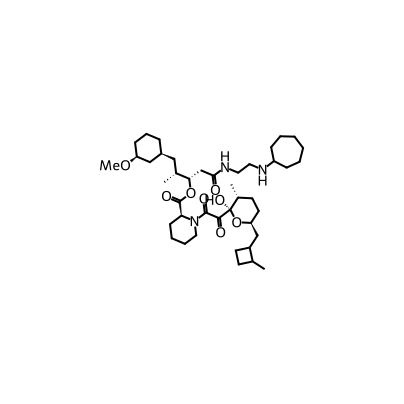 CO[C@H]1CCC[C@@H](C[C@@H](C)[C@H](CC(=O)NCCNC2CCCCCC2)OC(=O)[C@@H]2CCCCN2C(=O)C(=O)[C@]2(O)O[C@H](CC3CCC3C)CC[C@H]2C)C1